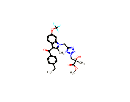 CCc1ccc(C(=O)c2c(C)n(Cc3nnn(C[C@](C)(O)C(=O)OC)n3)c3cc(OC(F)(F)F)ccc23)cc1